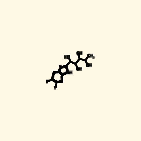 CC(O)[C@H](O)C(O)C(O)c1nc2cc(F)c(F)cc2[nH]1